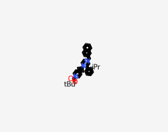 CC(C)c1ccccc1C1CN(Cc2ccc3c(c2)CCCC3)CCN1C1CC2(CCN(C(=O)OC(C)(C)C)CC2)C1